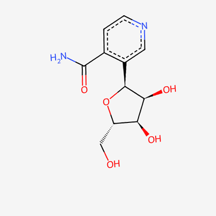 NC(=O)c1ccncc1[C@@H]1O[C@@H](CO)[C@H](O)[C@@H]1O